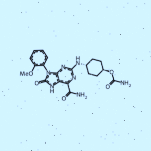 COc1ccccc1-n1c(=O)[nH]c2c(C(N)=O)nc(N[C@H]3CC[C@H](OC(N)=O)CC3)nc21